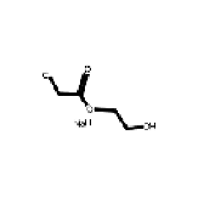 O=C(CCl)OCCO.[NaH]